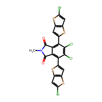 CN1C(=O)c2c(c(-c3cc4sc(Br)cc4s3)c(Cl)c(Cl)c2-c2cc3sc(Br)cc3s2)C1=O